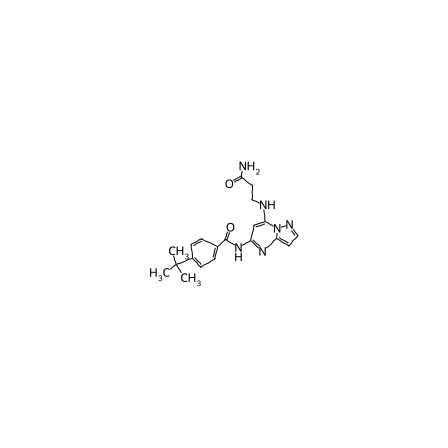 CC(C)(C)c1ccc(C(=O)Nc2cc(NCCC(N)=O)n3nccc3n2)cc1